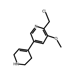 COc1cc(C2=CCNCC2)cnc1CCl